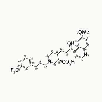 COc1ccc2nccc([C@H](O)CC[C@@H]3CCN(CCCc4cccc(C(F)(F)F)c4)C[C@@H]3C(=O)O)c2c1